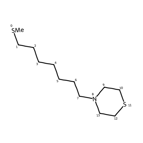 CSCCCCCCCN1CCSCC1